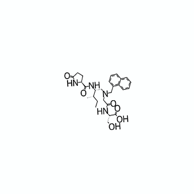 CC[C@H](C)[C@@H](CN(CC(=O)N[C@@H](CO)C(=O)O)Cc1cccc2ccccc12)NC(=O)[C@@H]1CCC(=O)N1